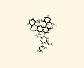 C=CC(O)N1C[C@H](C)N(c2nc(=O)n(-c3c(C)ccnc3C(C)C)c3nc(-c4c(O)cccc4F)c(F)cc23)C[C@H]1C